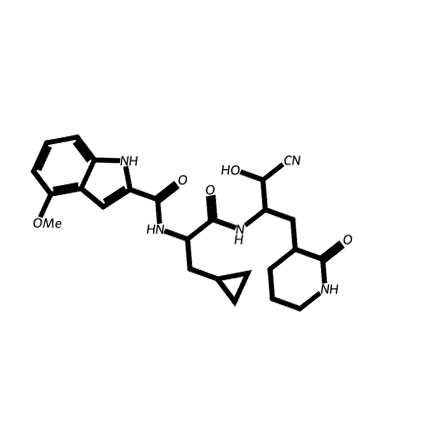 COc1cccc2[nH]c(C(=O)NC(CC3CC3)C(=O)NC(CC3CCCNC3=O)C(O)C#N)cc12